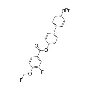 CCCc1ccc(-c2ccc(OC(=O)c3ccc(OCF)c(F)c3)cc2)cc1